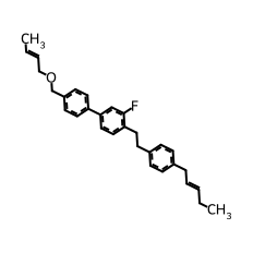 CC=CCOCc1ccc(-c2ccc(CCc3ccc(CC=CCC)cc3)c(F)c2)cc1